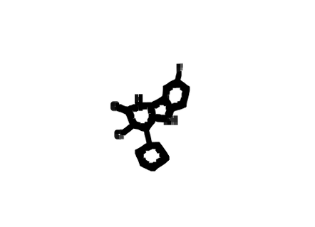 O=c1[nH]c2c([nH]c3ccc(F)cc32)c(-c2ccccc2)c1Cl